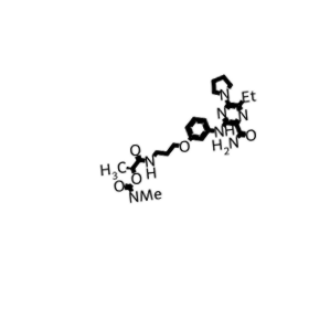 CCc1nc(C(N)=O)c(Nc2cccc(OCCCNC(=O)[C@H](C)OC(=O)NC)c2)nc1N1CCCC1